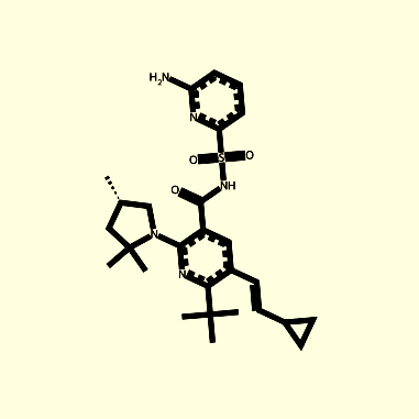 C[C@@H]1CN(c2nc(C(C)(C)C)c(C=CC3CC3)cc2C(=O)NS(=O)(=O)c2cccc(N)n2)C(C)(C)C1